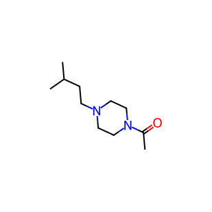 CC(=O)N1CCN(CCC(C)C)CC1